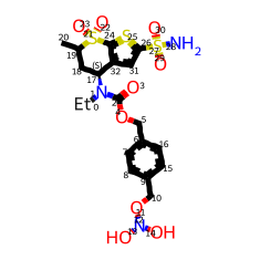 CCN(C(=O)OCc1ccc(CON(O)O)cc1)[C@H]1CC(C)S(=O)(=O)c2sc(S(N)(=O)=O)cc21